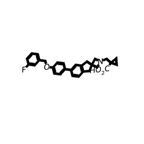 O=C(O)C1(CN2CC3(Cc4ccc(-c5ccc(OCc6cccc(F)c6)cc5)cc4C3)C2)CC1